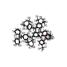 CC(C)(C)c1ccc(N2c3cc(C(C)(C)C)ccc3B3c4cc5c(cc4N(c4ccc6c(c4)C(C)(C)CCC6(C)C)c4cc(N6c7ccc(N(c8ccccc8)c8ccccc8)cc7C7(C)CCCCC67C)cc2c43)C(C)(C)CCC5(C)C)c(-c2ccccc2)c1